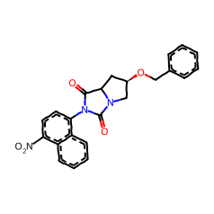 O=C1C2C[C@@H](OCc3ccccc3)CN2C(=O)N1c1ccc([N+](=O)[O-])c2ccccc12